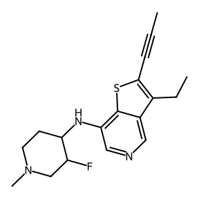 CC#Cc1sc2c(NC3CCN(C)CC3F)cncc2c1CC